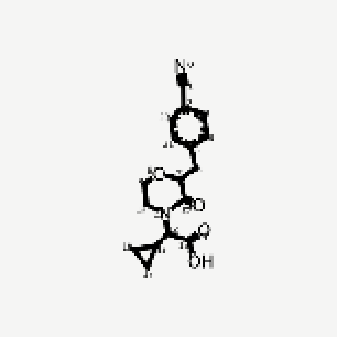 N#Cc1ccc(CC2OCCN(C(C(=O)O)C3CC3)C2=O)cc1